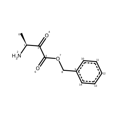 C[C@H](N)C(=O)C(=O)OCc1ccccc1